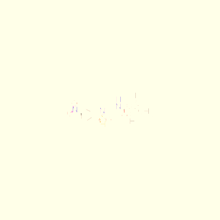 CC(C)(C)OC(=O)NCCN(Cc1cccc([N+](=O)[O-])c1)[SH](=O)=O